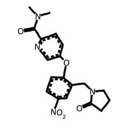 CN(C)C(=O)c1ccc(Oc2ccc([N+](=O)[O-])cc2CN2CCCC2=O)cn1